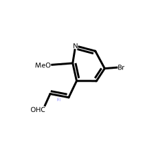 COc1ncc(Br)cc1/C=C/C=O